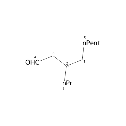 CCCCCC[C](CC=O)CCC